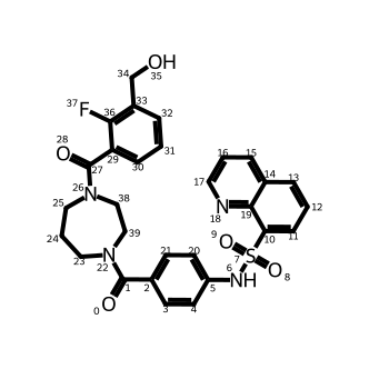 O=C(c1ccc(NS(=O)(=O)c2cccc3cccnc23)cc1)N1CCCN(C(=O)c2cccc(CO)c2F)CC1